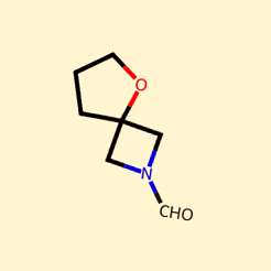 O=CN1CC2(CCCO2)C1